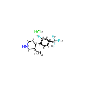 C[C@H]1CNCC[C@H]1c1ccc(C(F)(F)F)cc1F.Cl